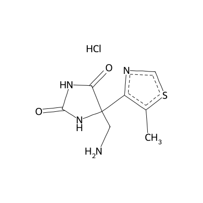 Cc1scnc1C1(CN)NC(=O)NC1=O.Cl